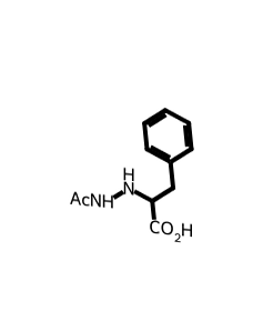 CC(=O)NNC(Cc1ccccc1)C(=O)O